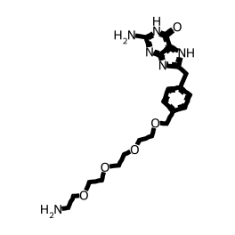 NCCOCCOCCOCCOCc1ccc(Cc2nc3nc(N)[nH]c(=O)c3[nH]2)cc1